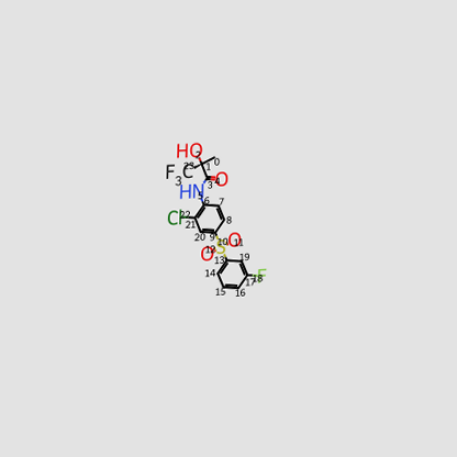 C[C@@](O)(C(=O)Nc1ccc(S(=O)(=O)c2cccc(F)c2)cc1Cl)C(F)(F)F